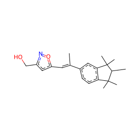 CC(=Cc1cc(CO)no1)c1ccc2c(c1)C(C)(C)C(C)C2(C)C